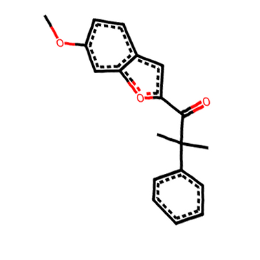 COc1ccc2cc(C(=O)C(C)(C)c3ccccc3)oc2c1